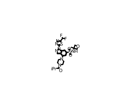 CC(C)C(=O)N1CCN(c2cc(S(=O)(=O)NC3(C)COC3)cc3c2cnn3-c2nnc(C(F)F)s2)CC1